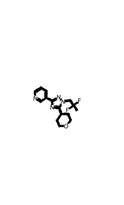 CC(F)(F)Cn1nc(-c2c[c]cnc2)nc1C1CCOCC1